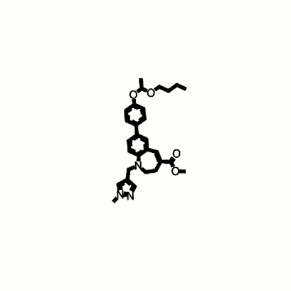 CCCCOC(C)Oc1ccc(-c2ccc3c(c2)C=C(C(=O)OC)CCN3Cc2cnn(C)c2)cc1